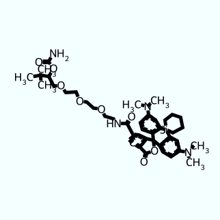 CN(C)c1ccc2c(c1)[Si]1(CCCCC1)c1cc(N(C)C)ccc1C21OC(=O)c2ccc(C(=O)NCCOCCOCCOCC(OC(N)=O)C(C)(C)C)cc21